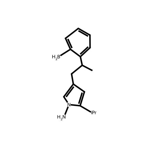 Bc1ccccc1C(C)Cc1cc(C(C)C)n(N)c1